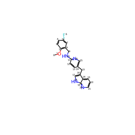 COc1ccc(F)cc1CNc1ccc(Cc2c[nH]c3ncccc23)cn1